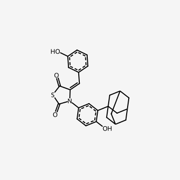 O=C1SC(=O)N(c2ccc(O)c(C34CC5CC(CC(C5)C3)C4)c2)C1=Cc1cccc(O)c1